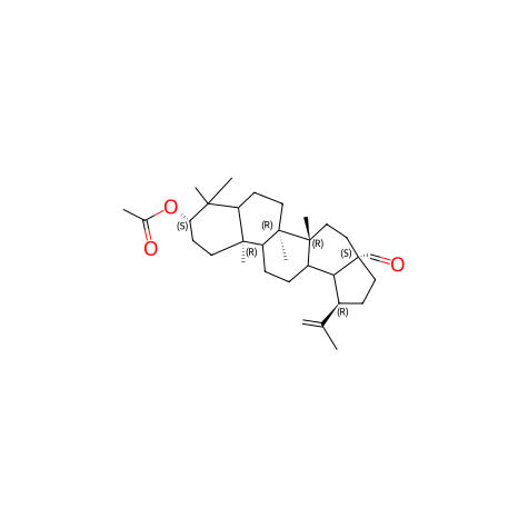 C=C(C)[C@@H]1CC[C@]2(C=O)CC[C@]3(C)C(CCC4[C@@]5(C)CC[C@H](OC(C)=O)C(C)(C)C5CC[C@]43C)C12